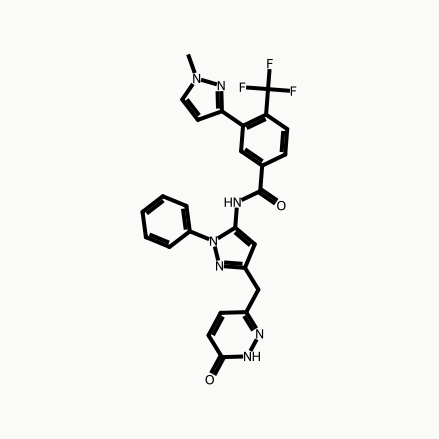 Cn1ccc(-c2cc(C(=O)Nc3cc(Cc4ccc(=O)[nH]n4)nn3-c3ccccc3)ccc2C(F)(F)F)n1